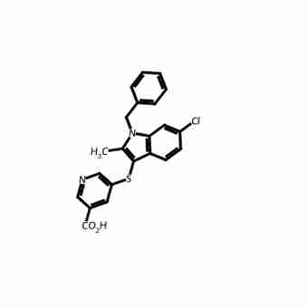 Cc1c(Sc2cncc(C(=O)O)c2)c2ccc(Cl)cc2n1Cc1ccccc1